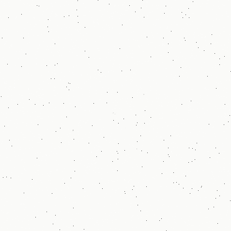 CCO[Si](CCCN(CC)C(CC(=O)O[Si](CC)(CC)CC)C(=O)O[Si](CC)(CC)CC)(OCC)OCC